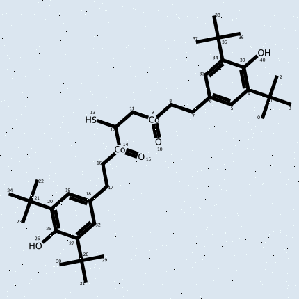 CC(C)(C)c1cc(C[CH2][Co](=[O])[CH2][CH](S)[Co](=[O])[CH2]Cc2cc(C(C)(C)C)c(O)c(C(C)(C)C)c2)cc(C(C)(C)C)c1O